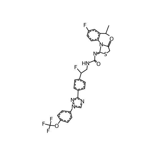 CC(C)c1cc(F)ccc1N1C(=O)CS/C1=N\C(=O)NCC(F)c1ccc(-c2ncn(-c3ccc(OC(F)(F)F)cc3)n2)cc1